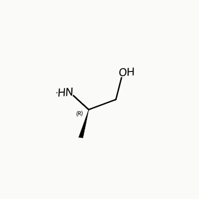 C[C@@H]([NH])CO